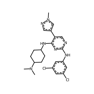 CN(C)C1CCC(Nc2nc(Nc3cc(Cl)cc(Cl)c3)ncc2-c2cnn(C)c2)CC1